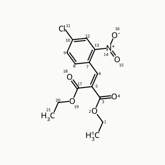 CCOC(=O)C(=Cc1ccc(Cl)cc1[N+](=O)[O-])C(=O)OCC